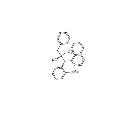 COc1ccccc1[C@H](c1cccc2ccccc12)[C@](C#N)(Cc1cccnc1)C(=O)O